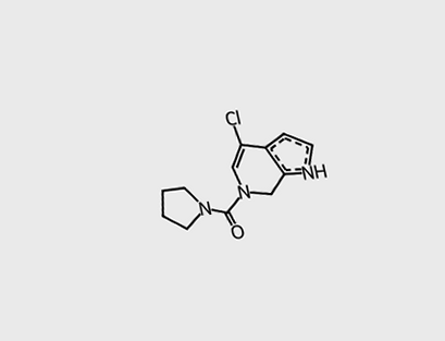 O=C(N1C=C(Cl)c2cc[nH]c2C1)N1CCCC1